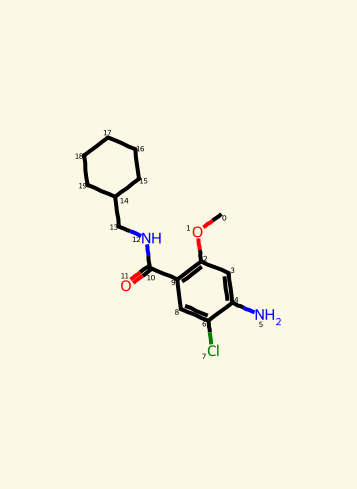 COc1cc(N)c(Cl)cc1C(=O)NCC1CCCCC1